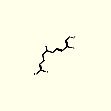 CCC(=CCCC(CC)CC=CC(C)=CC(=O)O)CC